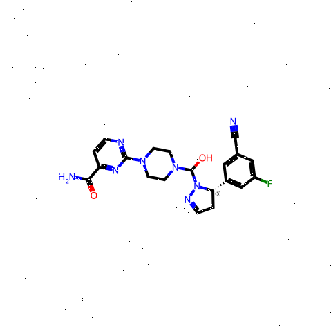 N#Cc1cc(F)cc([C@@H]2CC=NN2C(O)N2CCN(c3nccc(C(N)=O)n3)CC2)c1